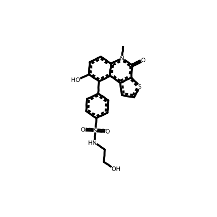 Cn1c(=O)c2sccc2c2c(-c3ccc(S(=O)(=O)NCCO)cc3)c(O)ccc21